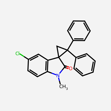 CN1C(=O)C2(CC2(c2ccccc2)c2ccccc2)c2cc(Cl)ccc21